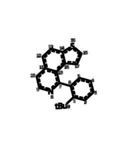 CC(C)(C)c1ccccc1-c1nccc2ccc3sccc3c12